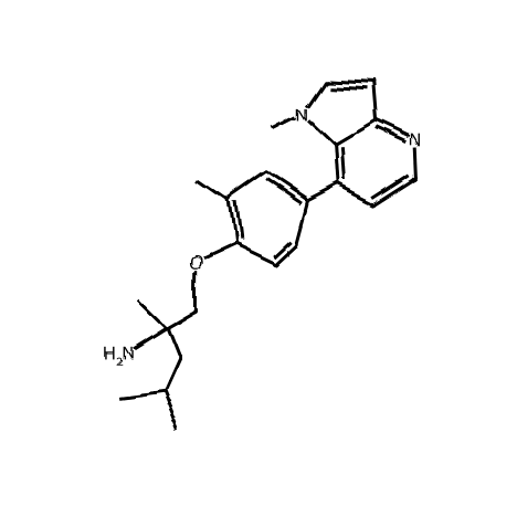 Cc1cc(-c2ccnc3ccn(C)c23)ccc1OCC(C)(N)CC(C)C